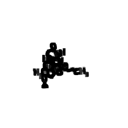 CCCOC(=O)C1CC2NC(=O)CC[C@]2(C)[C@@H]2CC[C@]3(C)C(OC4CC4)CC[C@H]3[C@H]12